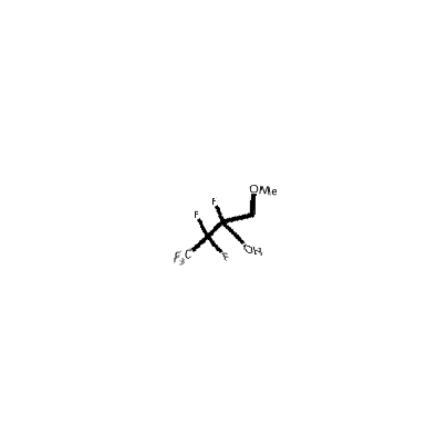 COCC(O)(F)C(F)(F)C(F)(F)F